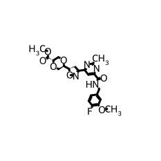 COC(=O)[C@@H]1CO[C@@H]([C@@H]2CC(c3cc(C(=O)NCc4ccc(F)c(OC)c4)nc(C)n3)=NO2)CO1